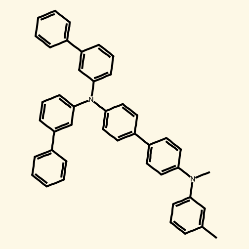 Cc1cccc(N(C)c2ccc(-c3ccc(N(c4cccc(-c5ccccc5)c4)c4cccc(-c5ccccc5)c4)cc3)cc2)c1